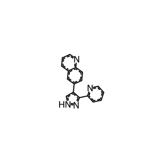 c1ccc(-c2n[nH]cc2-c2ccc3ncccc3c2)nc1